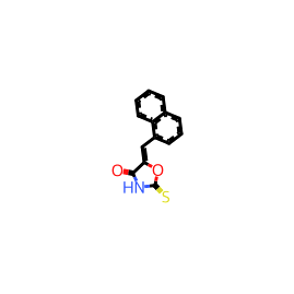 O=C1NC(=S)OC1=Cc1cccc2ccccc12